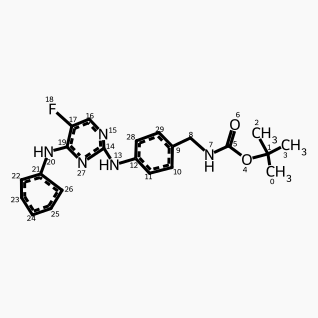 CC(C)(C)OC(=O)NCc1ccc(Nc2ncc(F)c(Nc3ccccc3)n2)cc1